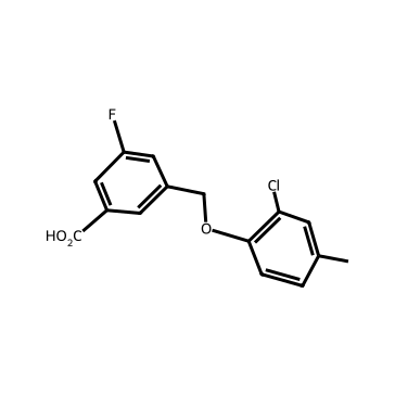 Cc1ccc(OCc2cc(F)cc(C(=O)O)c2)c(Cl)c1